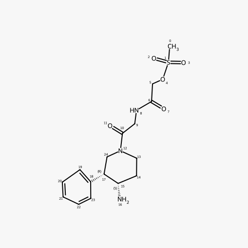 CS(=O)(=O)OCC(=O)NCC(=O)N1CC[C@H](N)[C@H](c2ccccc2)C1